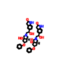 O=C1Cc2cc(C(O)CN3C[C@H]4C[C@H](Oc5ccccc5)C[C@@]4(O)C3)ccc2N1.O=C1Cc2cc(C(O)CN3C[C@H]4C[C@H](Oc5ccccc5)C[C@@]4(O)C3)ccc2N1